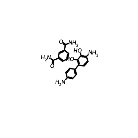 NC(=O)c1cccc(C(N)=O)c1.Nc1ccc(-c2ccc(N)c(O)c2O)cc1